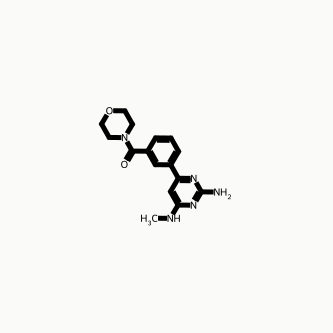 CNc1cc(-c2cccc(C(=O)N3CCOCC3)c2)nc(N)n1